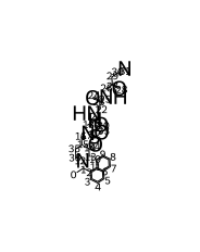 CC(c1cccc2ccccc12)N1CCC(CN(CC(=O)NCC(=O)NCC(=O)CC#N)[SH](=O)=O)CC1